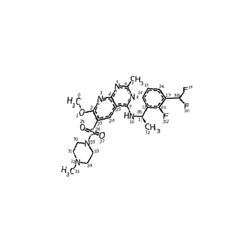 COc1nc2nc(C)nc(N[C@H](C)c3cccc(C(F)F)c3F)c2cc1S(=O)(=O)N1CCN(C)CC1